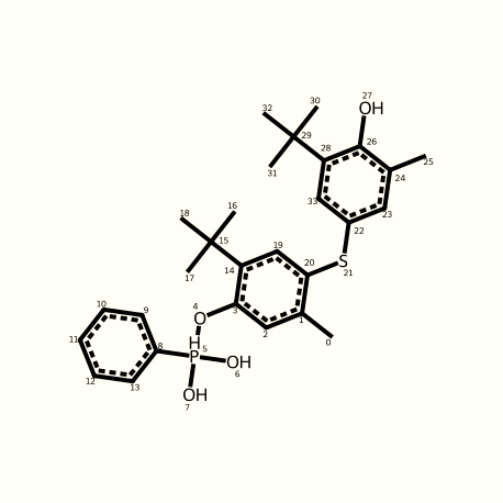 Cc1cc(O[PH](O)(O)c2ccccc2)c(C(C)(C)C)cc1Sc1cc(C)c(O)c(C(C)(C)C)c1